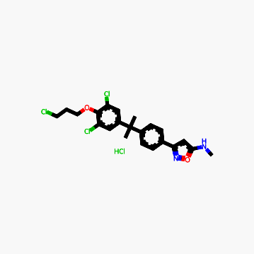 CNc1cc(-c2ccc(C(C)(C)c3cc(Cl)c(OCCCCl)c(Cl)c3)cc2)no1.Cl